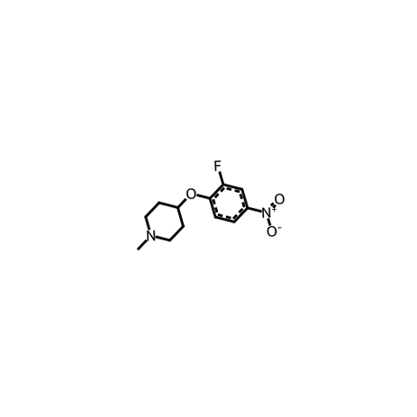 CN1CCC(Oc2ccc([N+](=O)[O-])cc2F)CC1